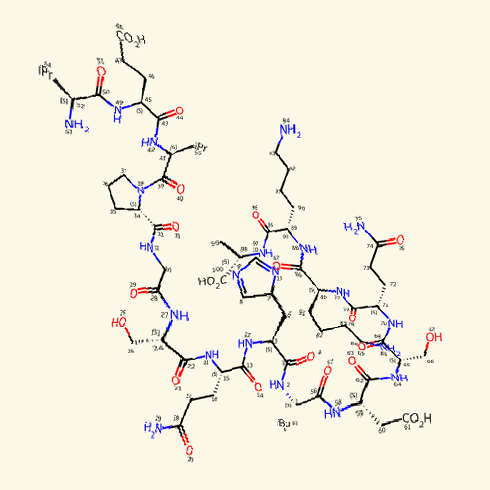 CC[C@H](C)[C@H](NC(=O)[C@H](CC1C=NC=N1)NC(=O)[C@H](CCC(N)=O)NC(=O)[C@H](CO)NC(=O)CNC(=O)[C@@H]1CCCN1C(=O)[C@@H](NC(=O)[C@H](CCC(=O)O)NC(=O)[C@@H](N)C(C)C)C(C)C)C(=O)N[C@@H](CC(=O)O)C(=O)N[C@@H](CO)C(=O)N[C@@H](CCC(N)=O)C(=O)N[C@@H](CCCCN)C(=O)N[C@@H](CCCCN)C(=O)N[C@@H](C)C(=O)O